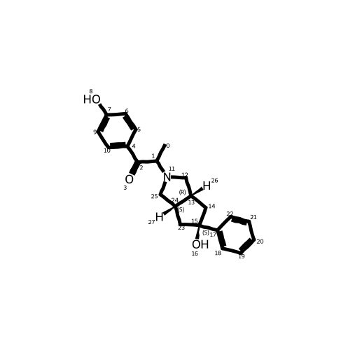 CC(C(=O)c1ccc(O)cc1)N1C[C@@H]2C[C@](O)(c3ccccc3)C[C@@H]2C1